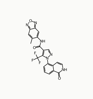 Cc1cc2nonc2cc1NC(=O)c1cnn(-c2cccc3c(=O)[nH]ccc23)c1C(F)(F)F